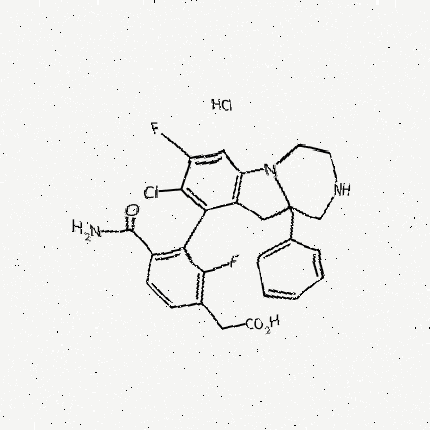 Cl.NC(=O)c1ccc(CC(=O)O)c(F)c1-c1c(Cl)c(F)cc2c1CC1(c3ccccc3)CNCCN21